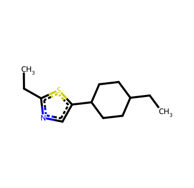 CCc1ncc(C2CCC(CC)CC2)s1